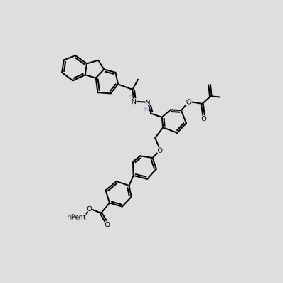 C=C(C)C(=O)Oc1ccc(COc2ccc(-c3ccc(C(=O)OCCCCC)cc3)cc2)c(/C=N/N=C(\C)c2ccc3c(c2)Cc2ccccc2-3)c1